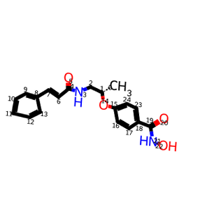 C[C@@H](CNC(=O)/C=C/c1ccccc1)Oc1ccc(C(=O)NO)cc1